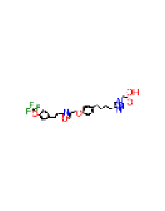 O=C(O)Cn1cc(CCCCc2ccc(OCc3coc(/C=C/c4ccc(OC(F)(F)F)cc4)n3)cc2)nn1